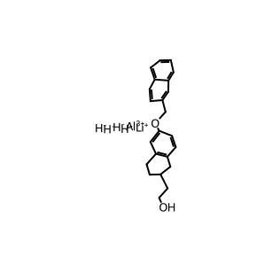 OCCC1CCc2cc(OCc3ccc4ccccc4c3)ccc2C1.[Al+3].[H-].[H-].[H-].[H-].[Li+]